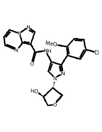 COc1ccc(Cl)cc1-c1nn([C@@H]2COC[C@H]2O)cc1NC(=O)c1cnn2cccnc12